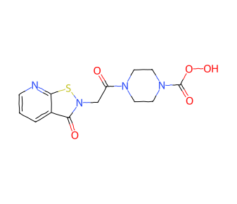 O=C(Cn1sc2ncccc2c1=O)N1CCN(C(=O)OO)CC1